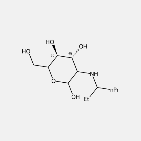 CCCC(CC)NC1C(O)OC(CO)[C@@H](O)[C@@H]1O